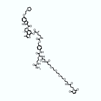 Cc1csc2c(OC(=O)N(C)CCN(C)C(=O)OCc3ccc(NC(=O)[C@H](CCCNC(N)=O)NC(=O)CNC(=O)CCOCCOCCOCCOCCNC(=O)CCN4C(=O)C=CC4=O)cc3)cc3c(c12)[C@H](C)CN3C(=O)c1cc2cc(OCCN3CCCC3)ccc2[nH]1